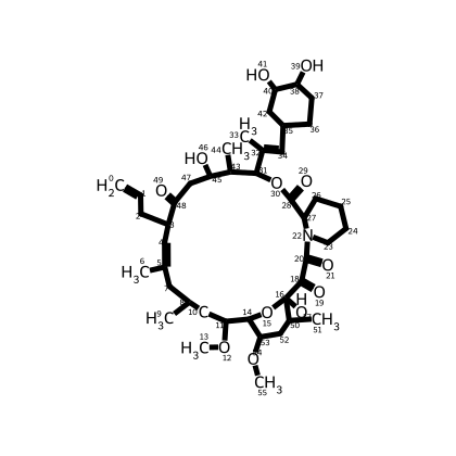 C=CCC1/C=C(/C)CC(C)CC(OC)C2OC(O)(C(=O)C(=O)N3CCCCC3C(=O)OC(/C(C)=C/C3CCC(O)C(O)C3)C(C)C(O)CC1=O)C(C)CC2OC